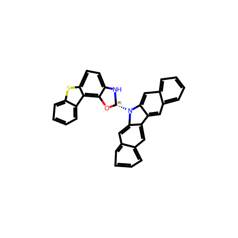 c1ccc2cc3c(cc2c1)c1cc2ccccc2cc1n3[C@H]1Nc2ccc3sc4ccccc4c3c2O1